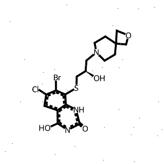 O=c1nc(O)c2cc(Cl)c(Br)c(SC[C@H](O)CN3CCC4(CC3)COC4)c2[nH]1